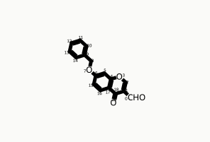 O=Cc1coc2cc(OCc3ccccc3)ccc2c1=O